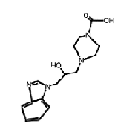 O=C(O)N1CCN(CC(O)Cn2cnc3ccccc32)CC1